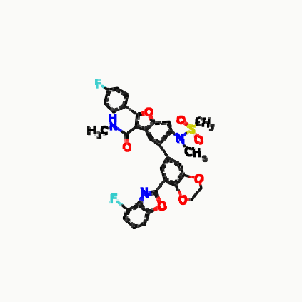 CNC(=O)c1c(-c2ccc(F)cc2)oc2cc(N(C)S(C)(=O)=O)c(-c3cc4c(c(-c5nc6c(F)cccc6o5)c3)OCCO4)cc12